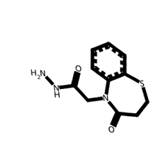 NNC(=O)CN1C(=O)CCSc2ccccc21